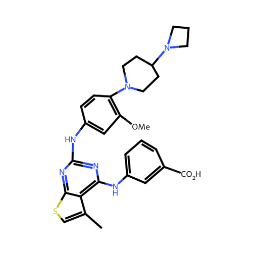 COc1cc(Nc2nc(Nc3cccc(C(=O)O)c3)c3c(C)csc3n2)ccc1N1CCC(N2CCC2)CC1